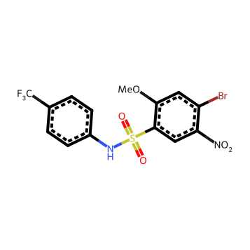 COc1cc(Br)c([N+](=O)[O-])cc1S(=O)(=O)Nc1ccc(C(F)(F)F)cc1